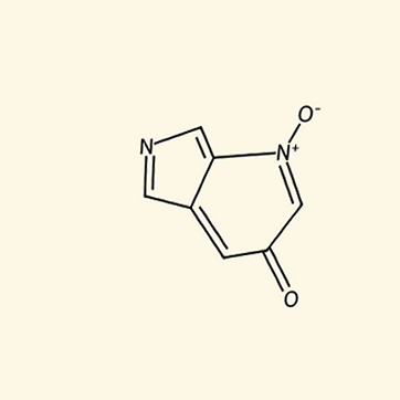 O=C1C=C2C=NC=C2[N+]([O-])=C1